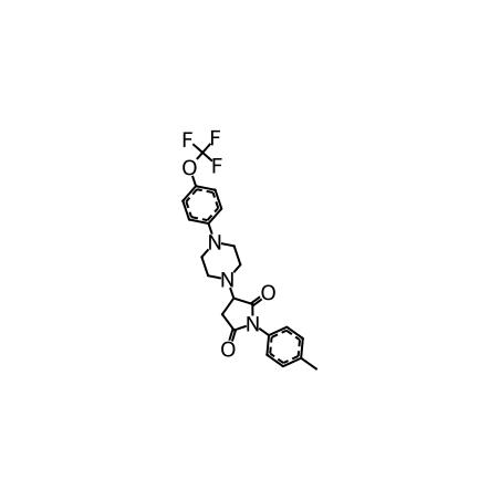 Cc1ccc(N2C(=O)CC(N3CCN(c4ccc(OC(F)(F)F)cc4)CC3)C2=O)cc1